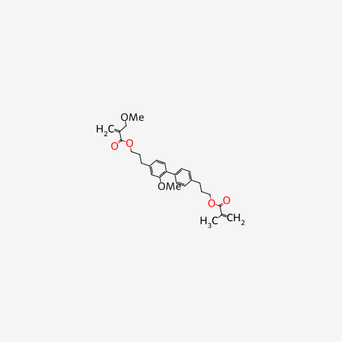 C=C(C)C(=O)OCCCc1ccc(-c2ccc(CCCOC(=O)C(=C)COC)cc2OC)cc1